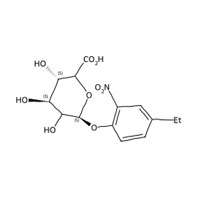 CCc1ccc(O[C@@H]2OC(C(=O)O)[C@@H](O)[C@H](O)C2O)c([N+](=O)[O-])c1